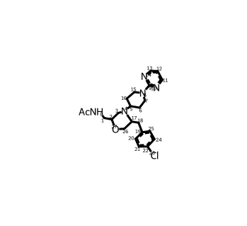 CC(=O)NCC1CN(C2CCN(c3ncccn3)CC2)C(Cc2ccc(Cl)cc2)CO1